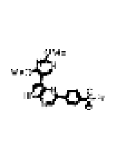 COc1ncc(-c2c[nH]c3ncc(-c4ccc(S(=O)(=O)C(C)C)cc4)nc23)c(OC)n1